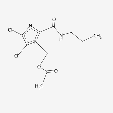 CCCNC(=O)c1nc(Cl)c(Cl)n1COC(C)=O